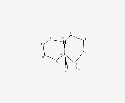 C[C@H]1CCCN2CCCC[C@@H]12